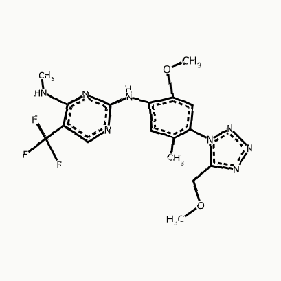 CNc1nc(Nc2cc(C)c(-n3nnnc3COC)cc2OC)ncc1C(F)(F)F